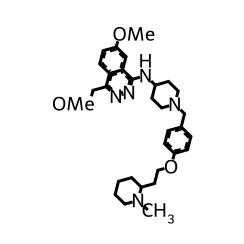 COCc1nnc(NC2CCN(Cc3ccc(OCCC4CCCCN4C)cc3)CC2)c2cc(OC)ccc12